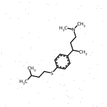 CC(C)CCSc1ccc(C(C)CCN(C)C)cc1